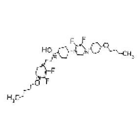 CCCCCO[C@H]1CC[C@@H](CC[C@H](O)C2CCC([C@H]3CC[C@@H](C4CCC(OCCCC)CC4)C(F)=C3F)CC2)C(F)=C1F